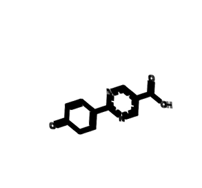 O=C1C=CC(c2ncc(C(=O)O)cn2)=CC1